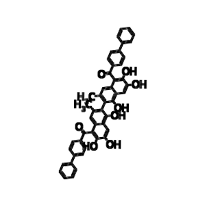 Cc1cc2c(C(=O)c3ccc(-c4ccccc4)cc3)c(O)c(O)cc2c(O)c1-c1c(C)cc2c(C(=O)c3ccc(-c4ccccc4)cc3)c(O)c(O)cc2c1O